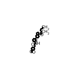 C=C/C=C\C(=C)C(=O)N1CCc2cc(-c3cccc(NC(=O)Cc4ccc5c(c4)OCO5)n3)ccc21